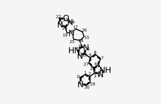 c1cc(-c2n[nH]c3ccc(-c4n[nH]c([C@@H]5CCCN(Cc6ncon6)C5)n4)cc23)ccn1